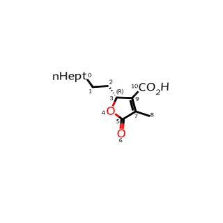 CCCCCCCCC[C@H]1OC(=O)C(C)=C1C(=O)O